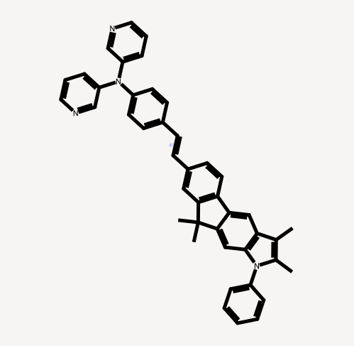 Cc1c(C)n(-c2ccccc2)c2cc3c(cc12)-c1ccc(/C=C/c2ccc(N(c4cccnc4)c4cccnc4)cc2)cc1C3(C)C